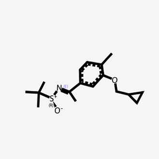 C/C(=N\[S@@+]([O-])C(C)(C)C)c1ccc(C)c(OCC2CC2)c1